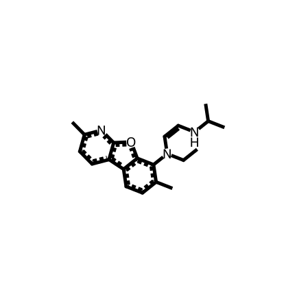 CCN(/C=C\NC(C)C)c1c(C)ccc2c1oc1nc(C)ccc12